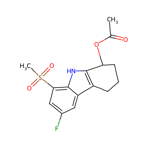 CC(=O)OC1CCCc2c1[nH]c1c(S(C)(=O)=O)cc(F)cc21